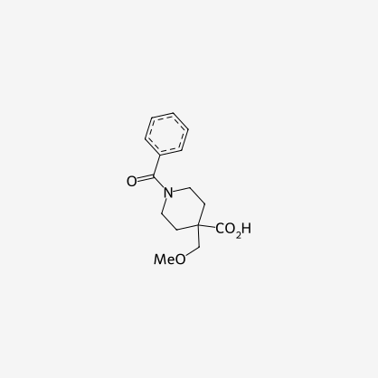 COCC1(C(=O)O)CCN(C(=O)c2ccccc2)CC1